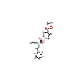 CC(=O)OC(CCc1ccccc1)C1Oc2ccc(C3OCCO3)cc2O1